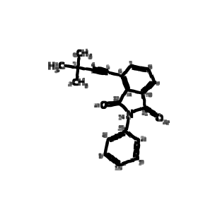 CC(C)(C)C#Cc1cccc2c1C(=O)N(c1ccccc1)C2=O